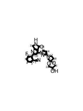 N#Cc1cccc(F)c1-c1cc(-n2ccc(N3CCC4(C3)OCC(O)CO4)n2)c2c(n1)CNC2=O